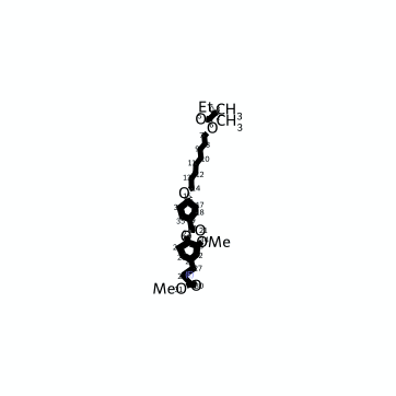 CCC(C)(C)C(=O)OCCCCCCCCOc1ccc(C(=O)Oc2ccc(/C=C/C(=O)OC)cc2OC)cc1